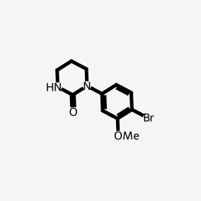 COc1cc(N2CCCNC2=O)ccc1Br